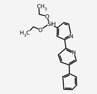 CCO[SiH](OCC)c1ccnc(-c2ccc(-c3ccccc3)cn2)c1